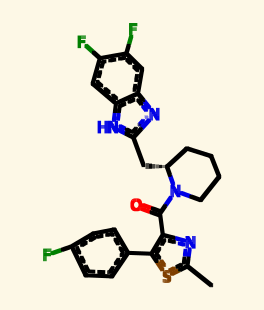 Cc1nc(C(=O)N2CCCC[C@H]2Cc2nc3cc(F)c(F)cc3[nH]2)c(-c2ccc(F)cc2)s1